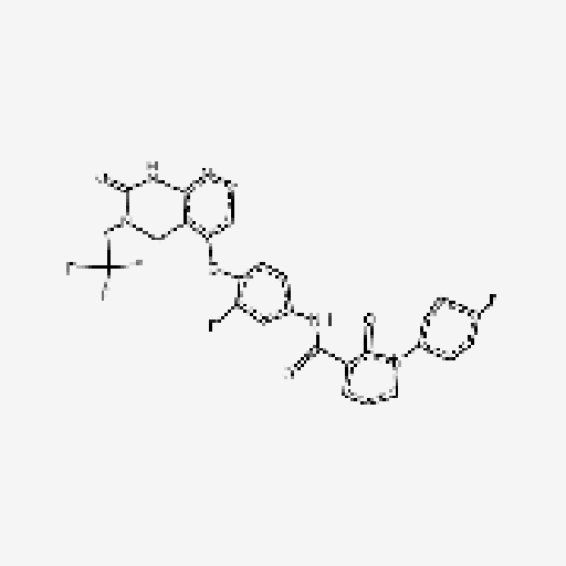 O=C(Nc1ccc(Oc2ccnc3c2CN(CC(F)(F)F)C(=O)N3)c(F)c1)c1cccn(-c2ccc(F)cc2)c1=O